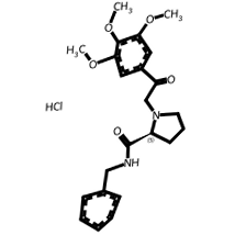 COc1cc(C(=O)CN2CCC[C@H]2C(=O)NCc2ccccc2)cc(OC)c1OC.Cl